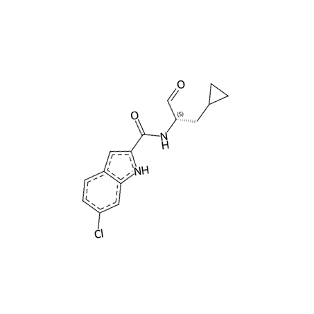 O=C[C@H](CC1CC1)NC(=O)c1cc2ccc(Cl)cc2[nH]1